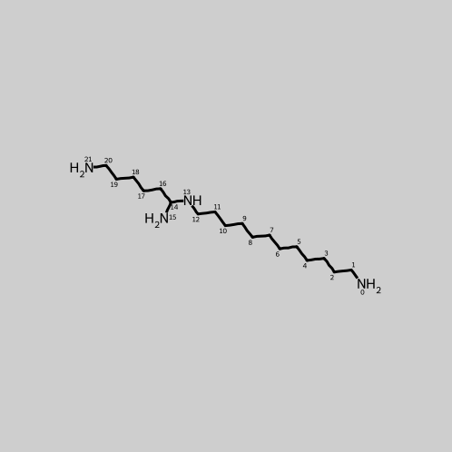 NCCCCCCCCCCCCNC(N)CCCCCN